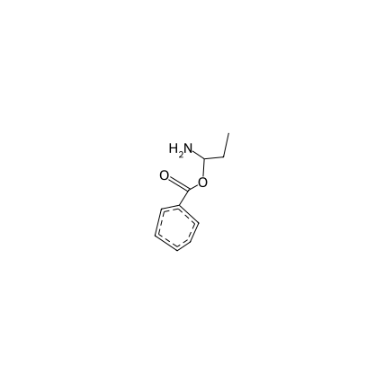 CCC(N)OC(=O)c1ccccc1